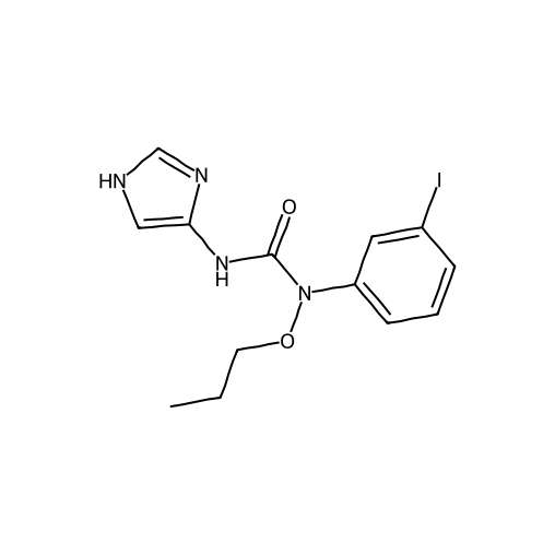 CCCON(C(=O)Nc1c[nH]cn1)c1cccc(I)c1